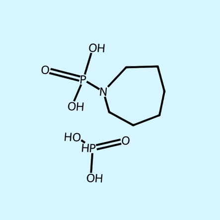 O=P(O)(O)N1CCCCCC1.O=[PH](O)O